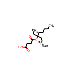 CCCCCC(CC)(CC)OC(=O)CCC(=O)O.[NaH]